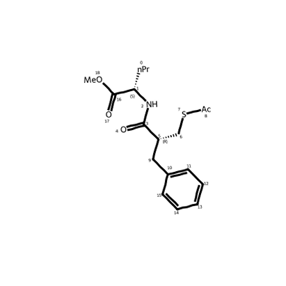 CCC[C@H](NC(=O)[C@H](CSC(C)=O)Cc1ccccc1)C(=O)OC